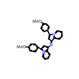 COc1ccc(C2=C/C(=N\c3cc(-c4ccc(OC)cc4)n4ccccc34)c3cccc[n+]32)cc1